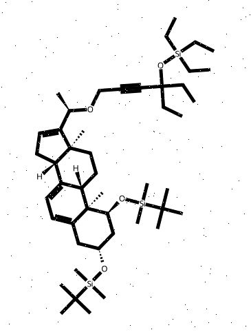 CCC(C#CCO[C@H](C)C1=CC[C@H]2C3=CC=C4C[C@@H](O[Si](C)(C)C(C)(C)C)C[C@H](O[Si](C)(C)C(C)(C)C)[C@]4(C)[C@H]3CC[C@]12C)(CC)O[Si](CC)(CC)CC